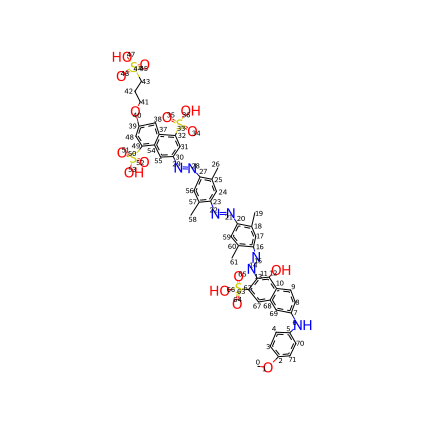 COc1ccc(Nc2ccc3c(O)c(N=Nc4cc(C)c(N=Nc5cc(C)c(N=Nc6cc(S(=O)(=O)O)c7cc(OCCCS(=O)(=O)O)cc(S(=O)(=O)O)c7c6)cc5C)cc4C)c(S(=O)(=O)O)cc3c2)cc1